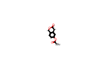 CCC(C)C(=O)Oc1ccc2c(c1)CC(=O)OC2